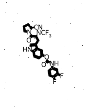 N#C[C@@H]1CCCN1C(=O)[C@H](Cc1c[nH]c2ccc(OC(=O)Nc3ccc(F)c(F)c3)cc12)NC(F)(F)F